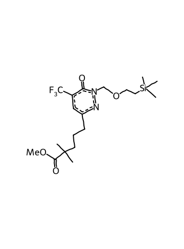 COC(=O)C(C)(C)CCCc1cc(C(F)(F)F)c(=O)n(COCC[Si](C)(C)C)n1